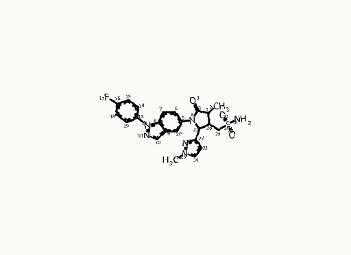 CC1C(=O)N(c2ccc3c(cnn3-c3ccc(F)cc3)c2)C(c2ccn(C)n2)C1CS(N)(=O)=O